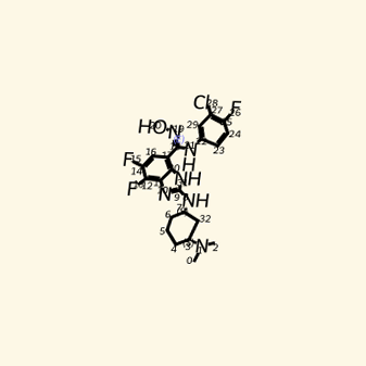 CN(C)[C@H]1CCC[C@H](Nc2nc3c(F)c(F)cc(/C(=N\O)Nc4ccc(F)c(Cl)c4)c3[nH]2)C1